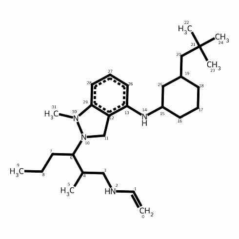 C=CNCC(C)C(CCC)N1Cc2c(NC3CCCC(CC(C)(C)C)C3)cccc2N1C